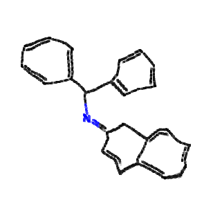 C1=Cc2ccccc2C/C1=N\C(c1ccccc1)c1ccccc1